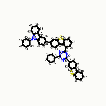 c1ccc(-c2nc(-c3ccc4c(c3)sc3ccccc34)nc(-c3cccc4sc5cc(-c6ccc7c(c6)c6ccccc6n7-c6ccccc6)ccc5c34)n2)cc1